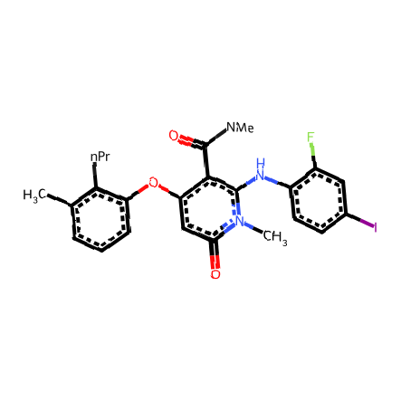 CCCc1c(C)cccc1Oc1cc(=O)n(C)c(Nc2ccc(I)cc2F)c1C(=O)NC